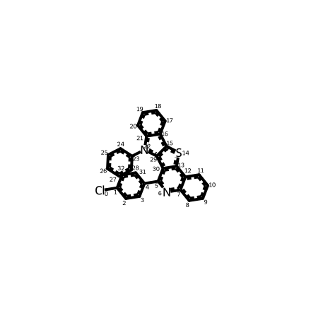 Clc1ccc(-c2nc3ccccc3c3sc4c5ccccc5n(-c5ccccc5)c4c23)cc1